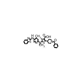 Cc1cc(N(C)c2nc(C(=O)O)c(C3CCN(C(=O)c4ccccc4)CC3)s2)nnc1Nc1nc2ccccc2s1